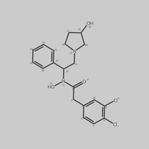 O=C(Cc1ccc(Cl)c(Cl)c1)N(O)C(CN1CCC(O)C1)c1ccccc1